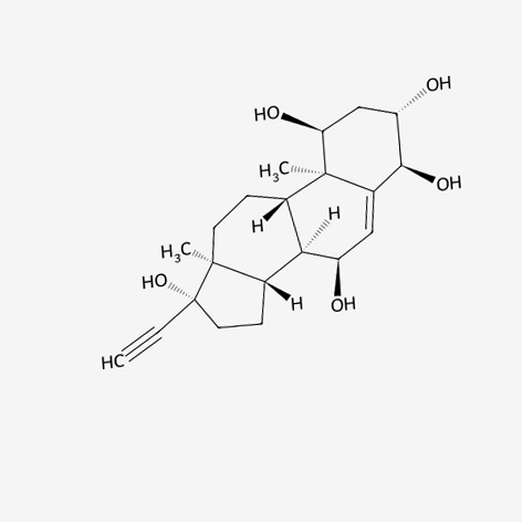 C#C[C@]1(O)CC[C@H]2[C@@H]3[C@H](O)C=C4[C@H](O)[C@@H](O)C[C@H](O)[C@]4(C)[C@H]3CC[C@@]21C